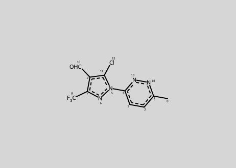 Cc1ccc(-n2nc(C(F)(F)F)c(C=O)c2Cl)nn1